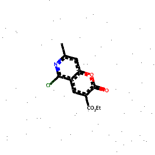 CCOC(=O)c1cc2c(Cl)nc(C)cc2oc1=O